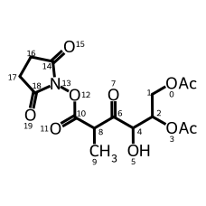 CC(=O)OCC(OC(C)=O)C(O)C(=O)C(C)C(=O)ON1C(=O)CCC1=O